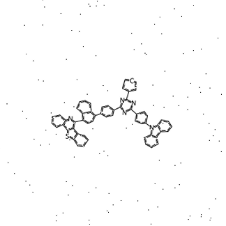 c1ccc(-c2nc(-c3ccc(-c4ccc(-c5nc6ccccc6c6sc7ccccc7c56)c5ccccc45)cc3)nc(-c3ccc(-n4c5ccccc5c5ccccc54)cc3)n2)cc1